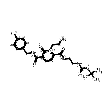 CC(C)(C)OC(=O)NCCNC(=O)c1ccc(C(=O)NCc2ccc(Cl)cc2)c(=O)n1CCO